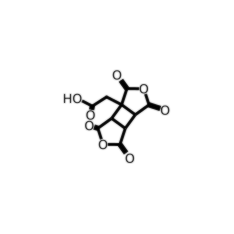 O=C(O)CC12C(=O)OC(=O)C1C1C(=O)OC(=O)C12